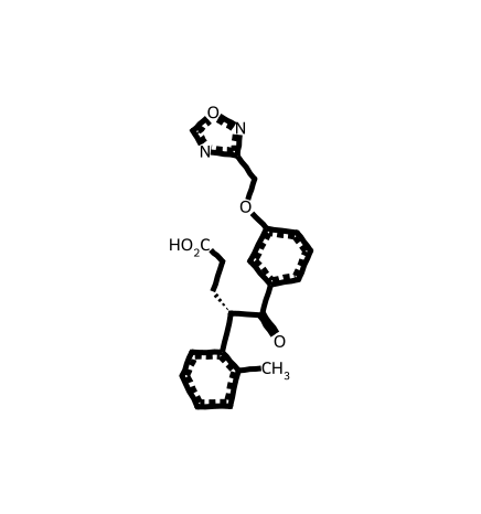 Cc1ccccc1[C@H](CCC(=O)O)C(=O)c1cccc(OCc2ncon2)c1